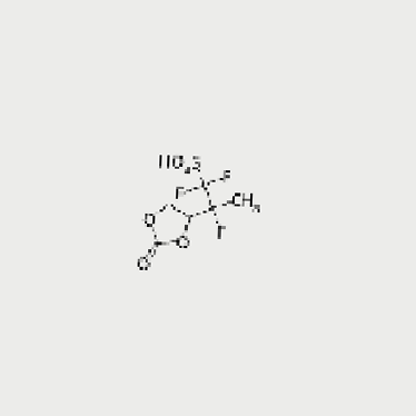 CC(F)(C1COC(=O)O1)C(F)(F)S(=O)(=O)O